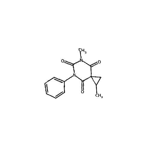 CC1CC12C(=O)N(C)C(=O)N(c1ccccc1)C2=O